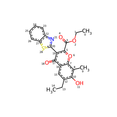 CCOC(=O)c1oc2c(C)c(O)c(CC)cc2c(=O)c1-c1nc2ccccc2s1